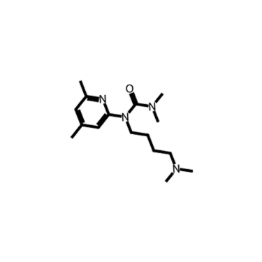 Cc1cc(C)nc(N(CCCCN(C)C)C(=O)N(C)C)c1